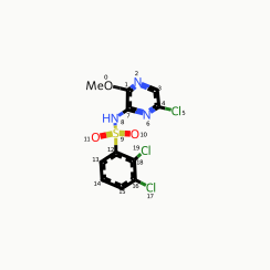 COc1ncc(Cl)nc1NS(=O)(=O)c1cccc(Cl)c1Cl